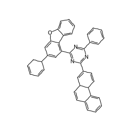 C1=CCC(c2cc(-c3nc(C4=CC5C=Cc6ccccc6C5C=C4)nc(-c4ccccc4)n3)c3c(c2)oc2ccccc23)C=C1